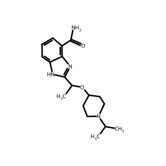 CC(OC1CCN(C(C)C)CC1)c1nc2c(C(N)=O)cccc2[nH]1